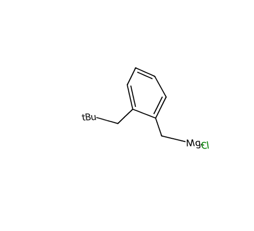 CC(C)(C)Cc1ccccc1[CH2][Mg][Cl]